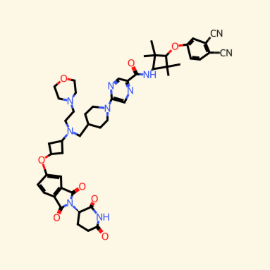 CC1(C)C(NC(=O)c2cnc(N3CCC(CN(CCN4CCOCC4)C4CC(Oc5ccc6c(c5)C(=O)N([C@@H]5CCC(=O)NC5=O)C6=O)C4)CC3)cn2)C(C)(C)C1Oc1ccc(C#N)c(C#N)c1